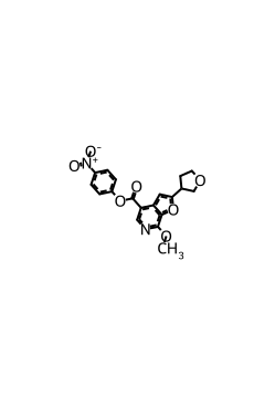 COc1ncc(C(=O)Oc2ccc([N+](=O)[O-])cc2)c2cc(C3CCOC3)oc12